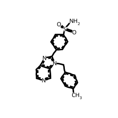 Cc1ccc(Cn2c(-c3ccc(S(N)(=O)=O)cc3)nc3ccncc32)cc1